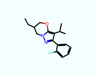 CCC1COc2c(C(C)C)c(-c3ccccc3F)nn2C1